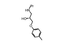 Cc1ccc(OC[C@@H](O)CNC(C)C)cc1